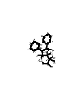 CC1COC(C)(C(C(=O)c2ccccc2)c2ccccc2)C(C)(C)C1(C)C